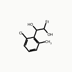 CCC(O)C(O)c1c(C)cccc1Cl